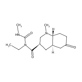 CCN(C(=O)NC)C(=O)[C@@H]1C[C@@H]2CC(=O)CC[C@H]2N(C)C1